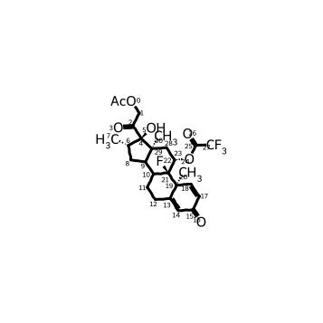 CC(=O)OCC(=O)[C@@]1(O)[C@@H](C)CC2C3CCC4=CC(=O)C=C[C@]4(C)[C@@]3(F)[C@@H](OC(=O)C(F)(F)F)C[C@@]21C